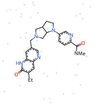 CCc1cc2ncc(CN3CC4CCN(c5ccc(C(=O)NC)nc5)C4C3)cc2[nH]c1=O